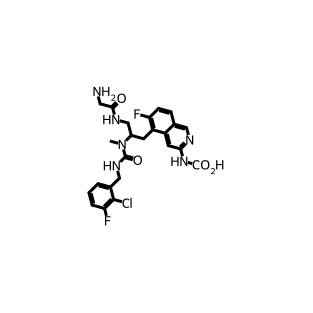 CN(C(=O)NCc1cccc(F)c1Cl)C(CNC(=O)CN)Cc1c(F)ccc2cnc(NC(=O)O)cc12